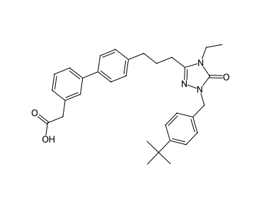 CCn1c(CCCc2ccc(-c3cccc(CC(=O)O)c3)cc2)nn(Cc2ccc(C(C)(C)C)cc2)c1=O